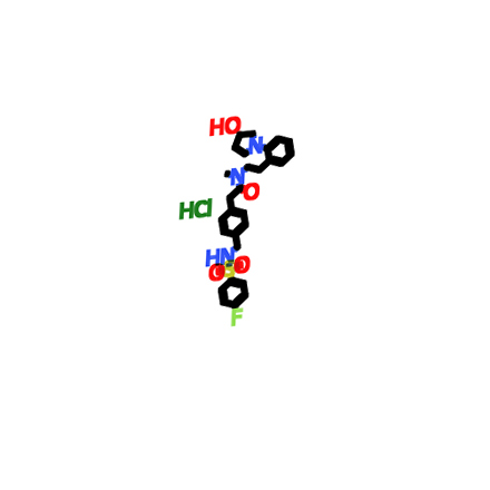 CN(CCc1ccccc1N1CC[C@H](O)C1)C(=O)Cc1ccc(CNS(=O)(=O)c2ccc(F)cc2)cc1.Cl